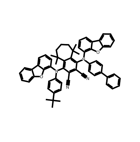 CC(C)(C)c1ccc(N(c2c(C#N)c(C#N)c(N(c3ccc(-c4ccccc4)cc3)c3cccc4c3oc3ccccc34)c3c2C(C)(C)CCCC3(C)C)c2cccc3c2oc2ccccc23)cc1